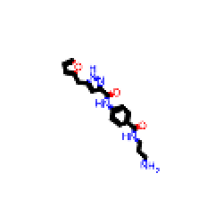 NCCCNC(=O)c1ccc(NC(=O)c2cc(Cc3ccco3)[nH]n2)cc1